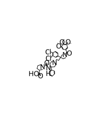 COc1cc(C(=O)N2CCC(CCN3CCC(NC(=O)N4CCCC(C(=O)O)C4)(c4ccccc4)CC3)(c3ccc(Cl)c(Cl)c3)C2)cc(OC)c1OC